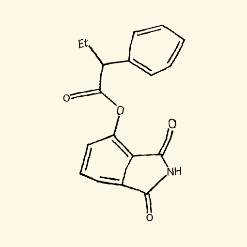 CCC(C(=O)Oc1cccc2c1C(=O)NC2=O)c1ccccc1